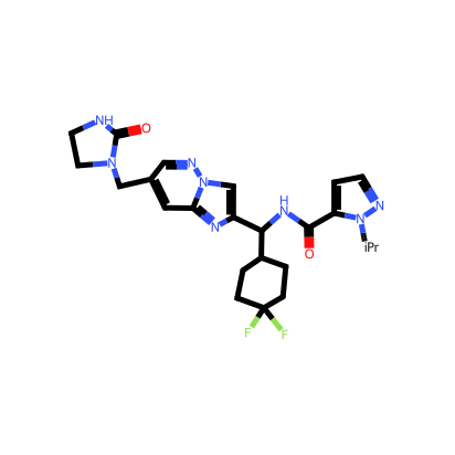 CC(C)n1nccc1C(=O)NC(c1cn2ncc(CN3CCNC3=O)cc2n1)C1CCC(F)(F)CC1